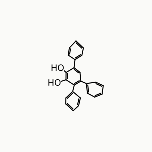 Oc1c(-c2ccccc2)cc(-c2ccccc2)c(-c2ccccc2)c1O